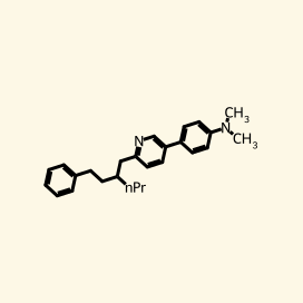 CCCC(CCc1ccccc1)Cc1ccc(-c2ccc(N(C)C)cc2)cn1